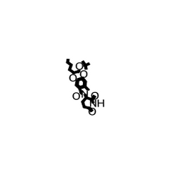 CCCCC(Oc1ccc2c(c1)C(=O)N(C1CCC(=O)NC1=O)C2)C(=O)OC(C)(C)C